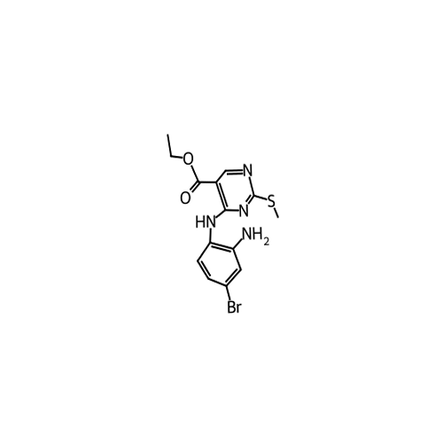 CCOC(=O)c1cnc(SC)nc1Nc1ccc(Br)cc1N